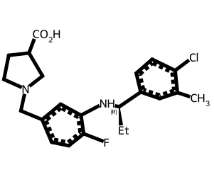 CC[C@@H](Nc1cc(CN2CCC(C(=O)O)C2)ccc1F)c1ccc(Cl)c(C)c1